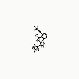 Cc1nc(-c2ncn3c4cccc(C#C[Si](C)(C)C)c4c(=O)n(C)c23)no1